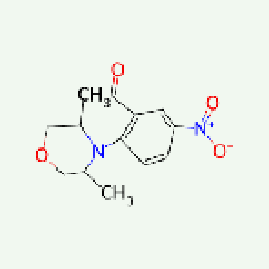 CC1COCC(C)N1c1ccc([N+](=O)[O-])cc1C=O